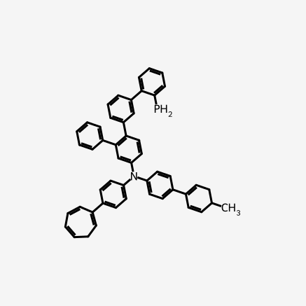 CC1C=CC(c2ccc(N(c3ccc(C4=CCC=CC=C4)cc3)c3ccc(-c4cccc(-c5ccccc5P)c4)c(-c4ccccc4)c3)cc2)=CC1